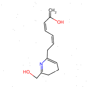 C=C(O)/C=C\C=C/CC1=CCCC(CO)=N1